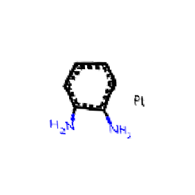 Nc1ccccc1N.[Pt]